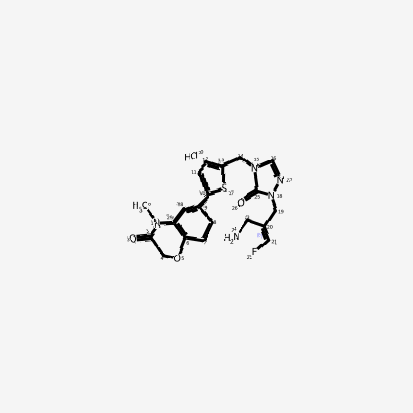 CN1C(=O)COc2ccc(-c3ccc(Cn4cnn(C/C(=C/F)CN)c4=O)s3)cc21.Cl